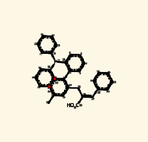 Cc1ccc(-c2ccccc2P(c2ccccc2)c2ccccc2)c(C/C(=C\c2ccccc2)C(=O)O)c1